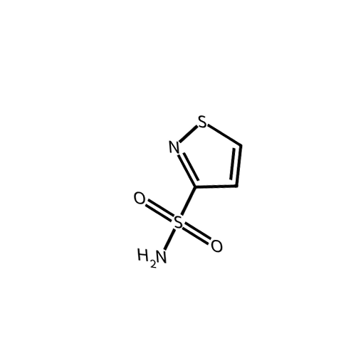 NS(=O)(=O)c1ccsn1